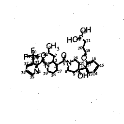 CCCC1C(C(=O)N2CCC(O)(c3ccccc3OCCCP(O)O)CC2)CCCN1C(=O)c1ncccc1C(F)(F)F